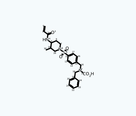 C=CC(=O)NC1CCN(S(=O)(=O)c2ccc(CN(Cc3ccccc3)C(=O)O)cc2)CC1C